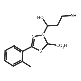 Cc1ccccc1C1=NN(C(O)CCS)C(C(=O)O)S1